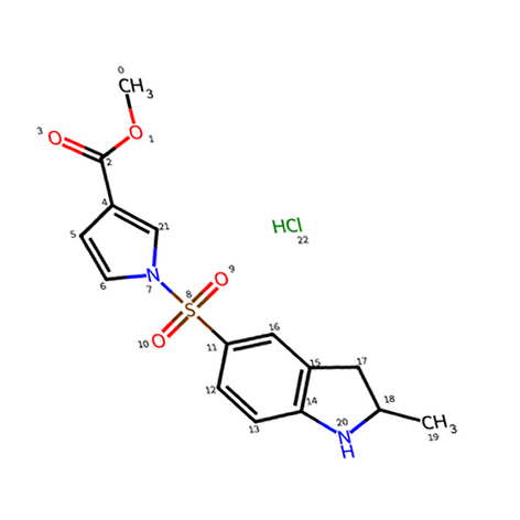 COC(=O)c1ccn(S(=O)(=O)c2ccc3c(c2)CC(C)N3)c1.Cl